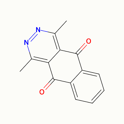 Cc1nnc(C)c2c1C(=O)c1ccccc1C2=O